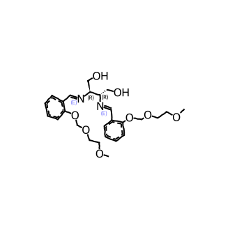 COCCOCOc1ccccc1/C=N/[C@@H](CO)[C@H](CO)/N=C/c1ccccc1OCOCCOC